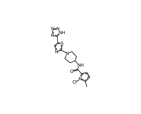 Cc1ccc(C(=O)NC2CCN(c3ncc(-c4nnn[nH]4)s3)CC2)n1Cl